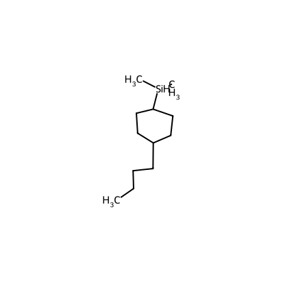 CCCCC1CCC([SiH](C)C)CC1